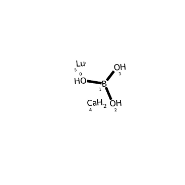 OB(O)O.[CaH2].[Lu]